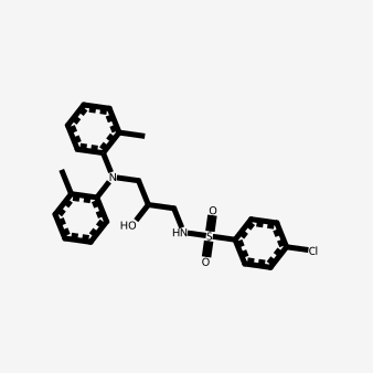 Cc1ccccc1N(CC(O)CNS(=O)(=O)c1ccc(Cl)cc1)c1ccccc1C